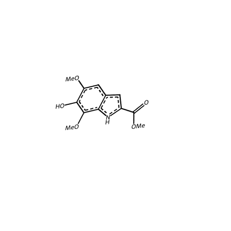 COC(=O)c1cc2cc(OC)c(O)c(OC)c2[nH]1